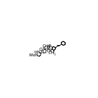 CN/C=C\C(=N)N1CCN(C(=O)N(C)c2c(F)cc(C#Cc3ccccc3)cc2F)C(C)(CC=O)C1=O